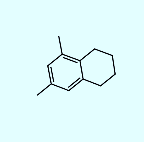 Cc1cc(C)c2c(c1)CCCC2